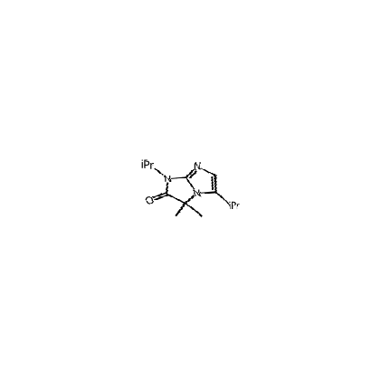 CC(C)c1cnc2n1C(C)(C)C(=O)N2C(C)C